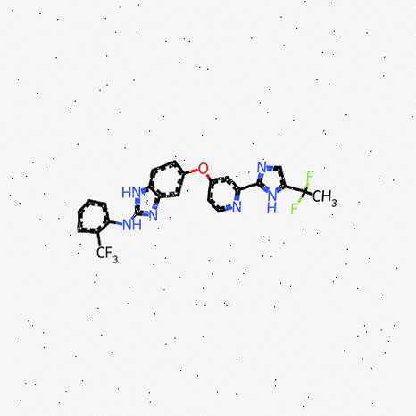 CC(F)(F)c1cnc(-c2cc(Oc3ccc4[nH]c(Nc5ccccc5C(F)(F)F)nc4c3)ccn2)[nH]1